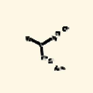 CC(C)P(C(C)C)C(C)C.[Au+3].[Cl-].[Cl-].[Cl-]